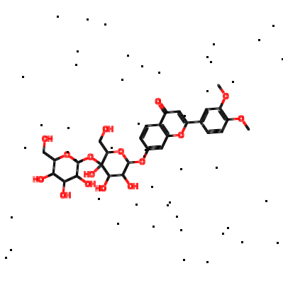 COc1ccc(-c2cc(=O)c3ccc(OC4OC(CO)C(O)(OC5OC(CO)C(O)C(O)C5O)C(O)C4O)cc3o2)cc1OC